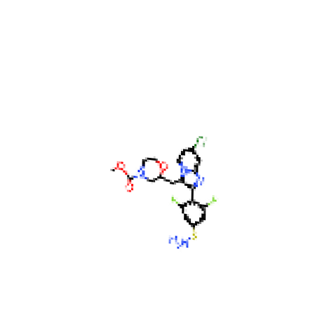 COC(=O)N1CCOC(Cc2c(-c3c(F)cc(SN)cc3F)nc3cc(Cl)ccn23)C1